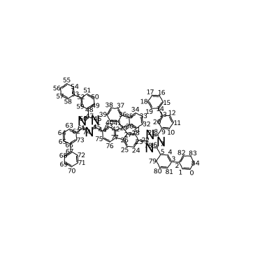 C1=CC(C2=CC(c3nc(-c4cccc(-c5ccccc5)c4)nc(-c4ccc5c(c4)C4(c6ccccc6-c6ccccc64)c4cc(-c6nc(-c7cccc(-c8ccccc8)c7)nc(-c7cccc(-c8ccccc8)c7)n6)ccc4-5)n3)CC=C2)=CCC1